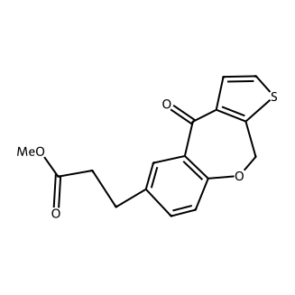 COC(=O)CCc1ccc2c(c1)C(=O)c1ccsc1CO2